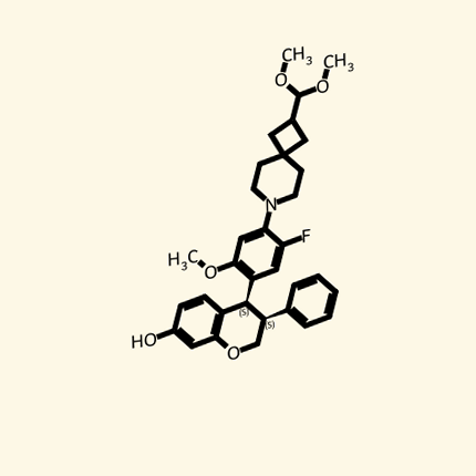 COc1cc(N2CCC3(CC2)CC(C(OC)OC)C3)c(F)cc1[C@@H]1c2ccc(O)cc2OC[C@@H]1c1ccccc1